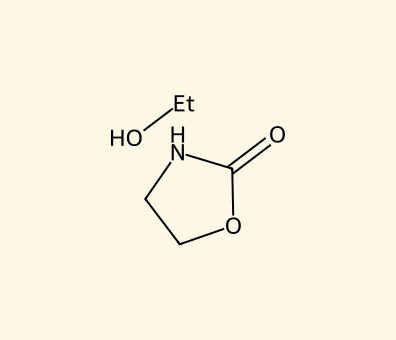 CCO.O=C1NCCO1